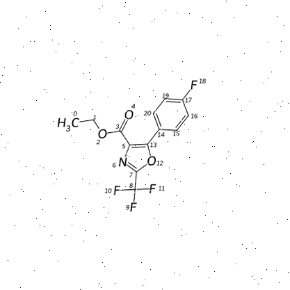 CCOC(=O)c1nc(C(F)(F)F)oc1-c1ccc(F)cc1